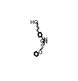 OC/C=C/Cc1ccc(-c2nnc(CSCCOc3ccccc3)o2)cc1